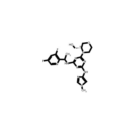 CC(Nc1nc(Nc2cn(C)cn2)nc(N2CCOC[C@H]2CO)n1)c1ncc(F)cc1F